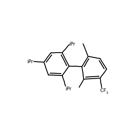 Cc1ccc(C(F)(F)F)c(C)c1-c1c(C(C)C)cc(C(C)C)cc1C(C)C